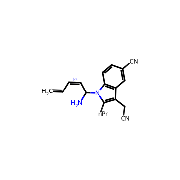 C=C/C=C\C(N)n1c(CCC)c(CC#N)c2cc(C#N)ccc21